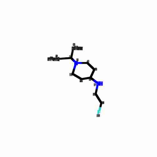 CCCCCCC(CCCCC)N1CCC(NCCF)CC1